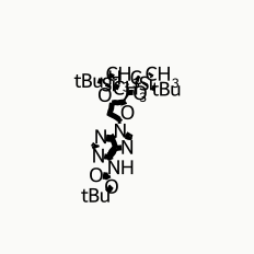 CC(C)(C)OC(=O)Nc1ncnc2c1ncn2[C@H]1CC(O[Si](C)(C)C(C)(C)C)[C@@H](CO[Si](C)(C)C(C)(C)C)O1